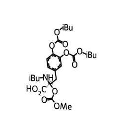 CCC(C)N[C@@](Cc1ccc(OC(=O)OC(C)CC)c(OC(=O)OC(C)CC)c1)(OC(=O)OC)C(=O)O